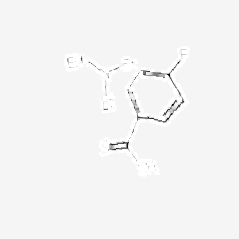 CCN(CC)CC.Fc1ccc(C(=S)S)cc1